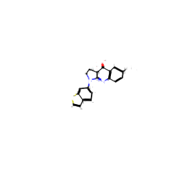 Cc1ccc2c(c1)C(=O)[C@]1(O)CCN(c3ccc4ccsc4c3)C1=N2